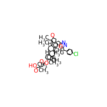 CC(C)C1=C2[C@H]3CC[C@@H]4[C@@]5(C)CC[C@H](OC(=O)CC(C)(C)C(=O)O)C(C)(C)[C@@H]5CC[C@@]4(C)[C@]3(C)CC[C@@]2(Cc2nnc([C@H](C)c3ccc(Cl)cc3)o2)CC1=O